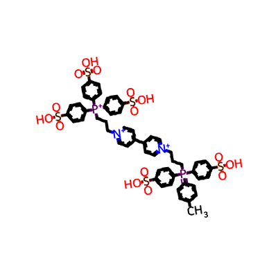 Cc1ccc([PH](CCC[n+]2ccc(-c3cc[n+](CCC[P+](c4ccc(S(=O)(=O)O)cc4)(c4ccc(S(=O)(=O)O)cc4)c4ccc(S(=O)(=O)O)cc4)cc3)cc2)(c2ccc(S(=O)(=O)O)cc2)c2ccc(S(=O)(=O)O)cc2)cc1